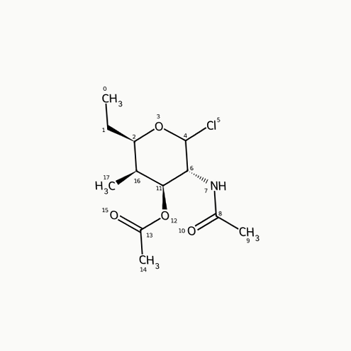 CC[C@H]1OC(Cl)[C@H](NC(C)=O)[C@@H](OC(C)=O)[C@H]1C